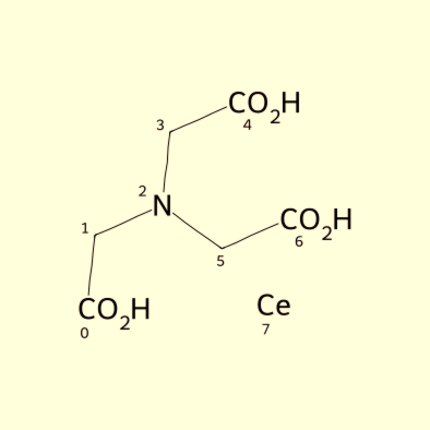 O=C(O)CN(CC(=O)O)CC(=O)O.[Ce]